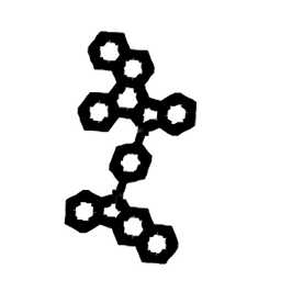 c1ccc2cc3c(cc2c1)c1ccccc1n3-c1ccc(-n2c3ccccc3c3c4ccc5ccccc5c4c4ccccc4c32)cc1